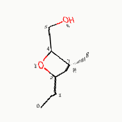 CCC1OC(CO)[C@@H]1C